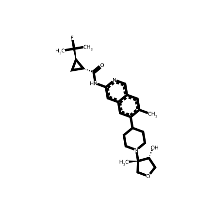 Cc1cc2cnc(NC(=O)[C@@H]3C[C@H]3C(C)(C)F)cc2cc1C1CCN([C@@]2(C)COC[C@H]2O)CC1